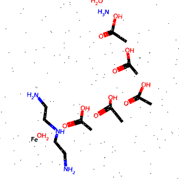 CC(=O)O.CC(=O)O.CC(=O)O.CC(=O)O.CC(=O)O.N.NCCNCCN.O.O.[Fe]